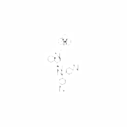 CN(C)c1ccc(C(=NN=Cc2cc[n+](CCCCS(=O)(=O)[O-])c3ccccc23)c2ccc(N(C)C)cc2)cc1